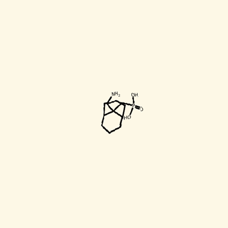 NCC1(CP(=O)(O)O)C2CCCC1CCC2